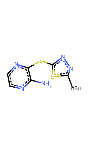 CCCCc1nnc(Sc2nccnc2N)s1